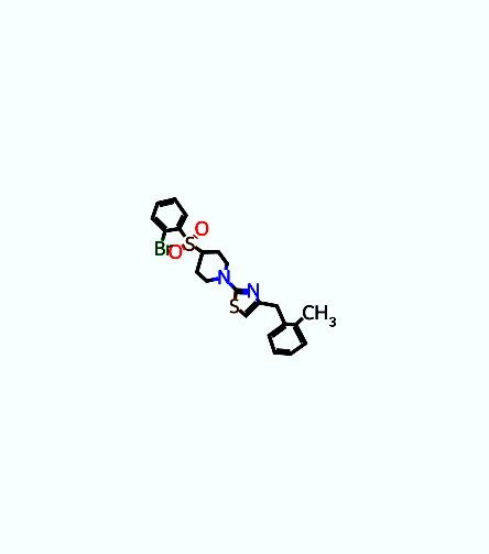 Cc1ccccc1Cc1csc(N2CCC(S(=O)(=O)c3ccccc3Br)CC2)n1